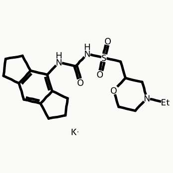 CCN1CCOC(CS(=O)(=O)NC(=O)Nc2c3c(cc4c2CCC4)CCC3)C1.[K]